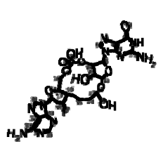 Nc1nc2c(ncn2C2OC3OC(O)CCC4C(COP(=O)(O)OC2C3O)OC(n2cnc3c(N)ncnc32)C4F)c(=O)[nH]1